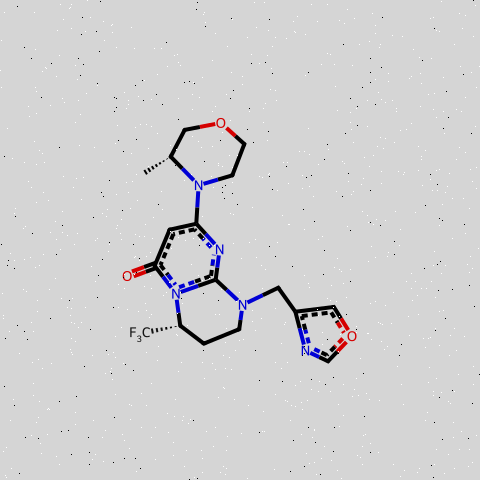 C[C@@H]1COCCN1c1cc(=O)n2c(n1)N(Cc1cocn1)CC[C@@H]2C(F)(F)F